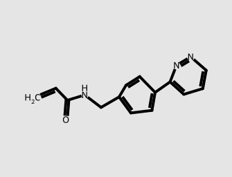 C=CC(=O)NCc1ccc(-c2cccnn2)cc1